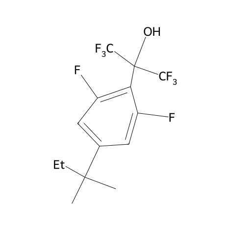 CCC(C)(C)c1cc(F)c(C(O)(C(F)(F)F)C(F)(F)F)c(F)c1